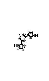 [c]1ncc(-c2cc[nH]n2)nc1-c1ncc[nH]1